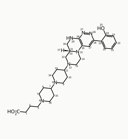 O=C(O)CCCN1CCC(N2CCC(N3CCN4c5cc(-c6ccccc6O)nnc5NC[C@H]4C3)CC2)CC1